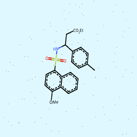 CCOC(=O)CC(NS(=O)(=O)c1ccc(OC)c2ccccc12)c1ccc(C)cc1